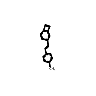 Cc1ccc(C=Cc2ccc3c(c2)C=C3)cc1